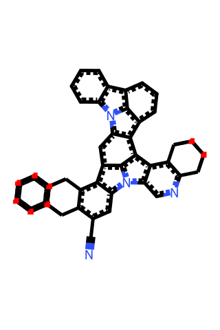 N#Cc1cc2c(c3c1C1c4ccccc4C3c3ccccc31)c1cc3c(c4cccc5c6ccccc6n3c54)c3c4c5c(ncc4n2c13)C1CCC5CC1